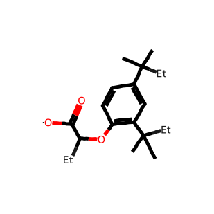 CCC(Oc1ccc(C(C)(C)CC)cc1C(C)(C)CC)C([O])=O